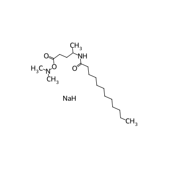 CCCCCCCCCCCC(=O)NC(C)CCC(=O)ON(C)C.[NaH]